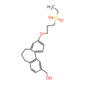 CCS(=O)(=O)CCCOc1ccc2c(c1)CCCc1ccc(CO)cc1-2